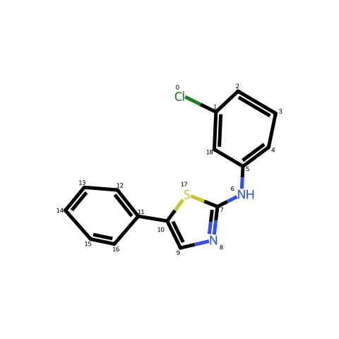 Clc1cccc(Nc2ncc(-c3ccccc3)s2)c1